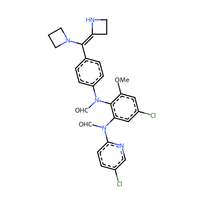 COc1cc(Cl)cc(N(C=O)c2ccc(Cl)cn2)c1N(C=O)c1ccc(C(=C2CCN2)N2CCC2)cc1